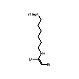 CCC=C(CC)NCCCCCCCCCCCCC